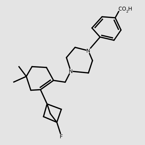 CC1(C)CCC(CN2CCN(c3ccc(C(=O)O)cc3)CC2)=C(C23CC(F)(C2)C3)C1